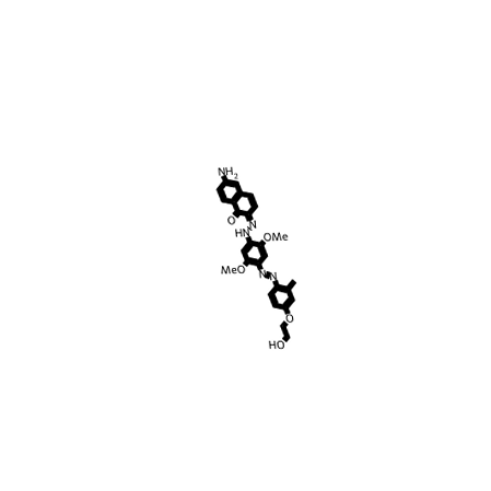 COc1cc(N/N=C2/C=Cc3cc(N)ccc3C2=O)c(OC)cc1/N=N/c1ccc(OCCO)cc1C